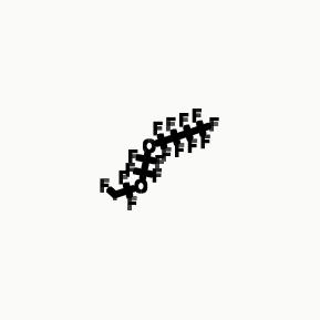 F[CH]C(F)(F)OC(F)(F)C(F)(F)OC(F)(F)C(F)(F)C(F)(F)C(F)(F)F